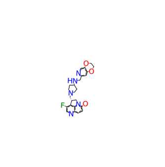 O=c1ccc2ncc(F)c3c2n1C[C@H]3CN1CCC(NCc2cc3c(cn2)OCCO3)CC1